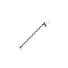 CC(=CCCCCCCCCCCCCCCCCCCN)C(=O)O